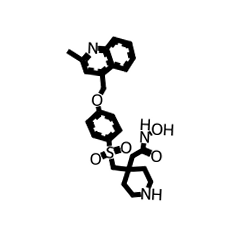 Cc1cc(COc2ccc(S(=O)(=O)CC3(CC(=O)NO)CCNCC3)cc2)c2ccccc2n1